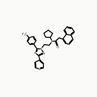 O=C(Cc1cccc2ccccc12)N(CCn1nc(-c2ccncc2)nc1-c1ccc(C(F)(F)F)cc1)C1CCCC1